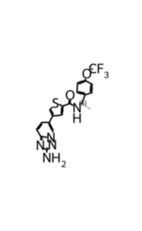 C[C@H](NC(=O)c1cc(-c2ccc3nc(N)nn3c2)cs1)c1ccc(OC(F)(F)F)cc1